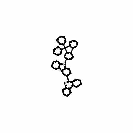 c1ccc(C2(c3ccccc3)c3ccccc3-c3ccc(-n4c5ccccc5c5cc(-c6nc7ccccc7c7ccccc67)ccc54)cc32)cc1